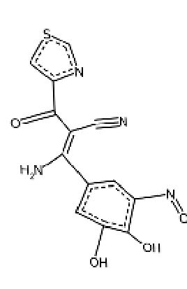 N#C/C(C(=O)c1cscn1)=C(/N)c1cc(O)c(O)c(N=O)c1